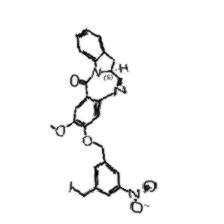 COc1cc2c(cc1OCc1cc(CI)cc([N+](=O)[O-])c1)N=C[C@@H]1Cc3ccccc3N1C2=O